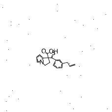 C=CCc1cccc(C(=S)C2(C(=O)O)CCn3cccc32)c1